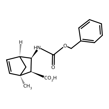 C[C@]12C=C[C@H](C1)[C@@H](NC(=O)OCc1ccccc1)[C@H]2C(=O)O